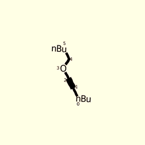 CCCCC#CO[CH]CCCC